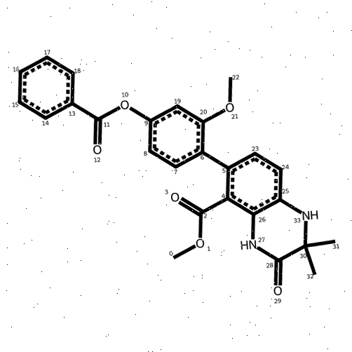 COC(=O)c1c(-c2ccc(OC(=O)c3ccccc3)cc2OC)ccc2c1NC(=O)C(C)(C)N2